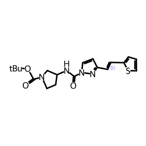 CC(C)(C)OC(=O)N1CCC(NC(=O)n2ccc(/C=C/c3cccs3)n2)C1